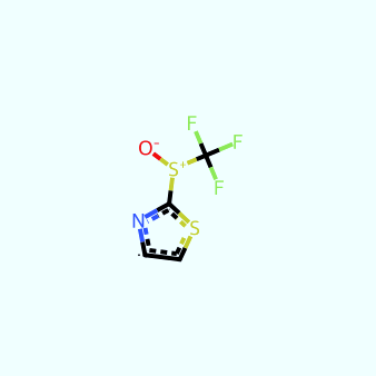 [O-][S+](c1n[c]cs1)C(F)(F)F